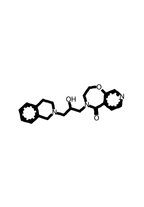 O=C1c2ccncc2OCCN1CC(O)CN1CCc2ccccc2C1